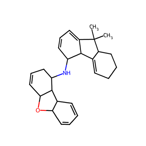 CC1(C)C2=CC=CC(NC3CC=CC4OC5C=CC=CC5C34)C2C2=CCCCC21